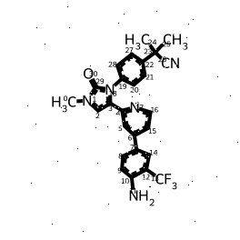 Cn1cc(-c2cc(-c3ccc(N)c(C(F)(F)F)c3)ccn2)n(-c2ccc(C(C)(C)C#N)cc2)c1=O